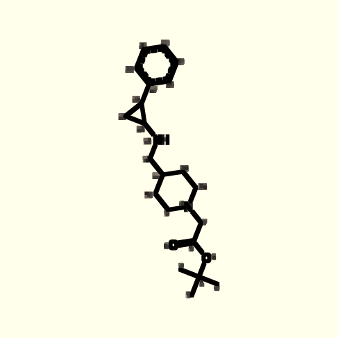 CC(C)(C)OC(=O)CN1CCC(CNC2CC2c2ccccc2)CC1